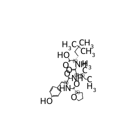 CC[C@H](C)[C@H](NC(=O)[C@H](Cc1ccc(O)cc1)NC(=O)[C@@H]1CCCO1)C(=O)N[C@@H](CCC(C)(C)C)C(=O)O